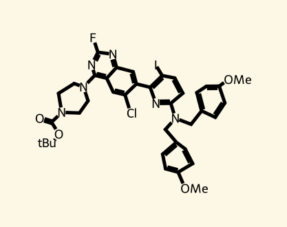 COc1ccc(CN(Cc2ccc(OC)cc2)c2ccc(I)c(-c3cc4nc(F)nc(N5CCN(C(=O)OC(C)(C)C)CC5)c4cc3Cl)n2)cc1